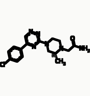 C[C@@H]1CN(c2nncc(-c3ccc(Cl)cc3)n2)CCN1CC(N)=O